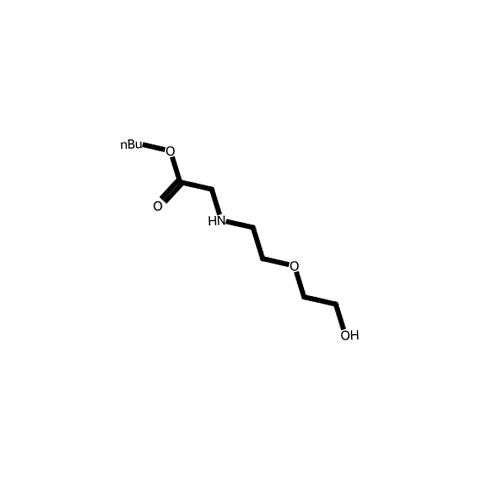 CCCCOC(=O)CNCCOCCO